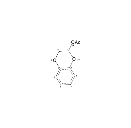 CC(=O)OC1COc2ccccc2O1